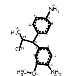 COc1cc(C(c2ccc(N)cc2)C(C)Cl)ccc1N